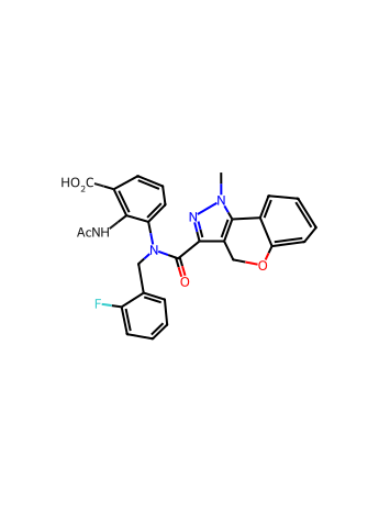 CC(=O)Nc1c(C(=O)O)cccc1N(Cc1ccccc1F)C(=O)c1nn(C)c2c1COc1ccccc1-2